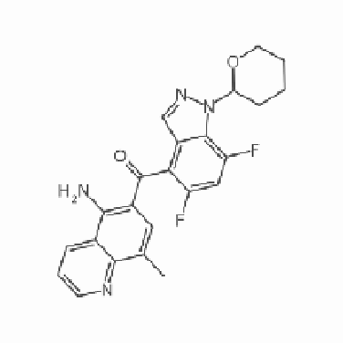 Cc1cc(C(=O)c2c(F)cc(F)c3c2cnn3C2CCCCO2)c(N)c2cccnc12